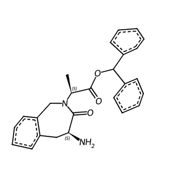 C[C@@H](C(=O)OC(c1ccccc1)c1ccccc1)N1Cc2ccccc2C[C@H](N)C1=O